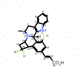 C[C@H]1Cc2c([nH]c3ccccc23)[C@@H]2c3c(F)cc(/C=C/C(=O)O)cc3C3C(CC3(F)F)N21